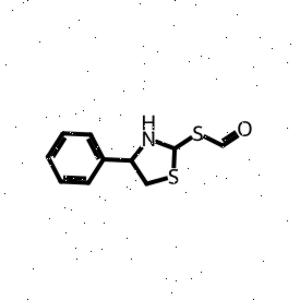 O=CSC1NC(c2ccccc2)CS1